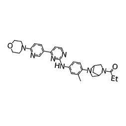 CCC(=O)N1CC2CC1CN2c1ccc(Nc2nccc(-c3ccc(N4CCOCC4)nc3)n2)cc1C